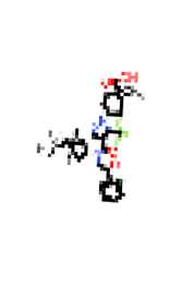 CC1(C)[C@@H]2C[C@H](N(C[C@@H](O)c3ccccc3Cl)C(=O)c3cnn([C@H]4CC[C@](C)(C(=O)O)CC4)c3C(F)(F)F)C[C@@H]21